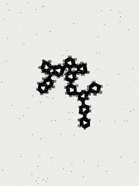 c1ccc(-c2ccc(-c3cc(-c4cccc(-c5ccc6c(c5)c5ccccc5c5cccc(-c7ccc8c(c7)c7ccccc7n8-c7ccc8ccccc8c7)c56)c4)nc(-c4ccccc4)n3)cc2)cc1